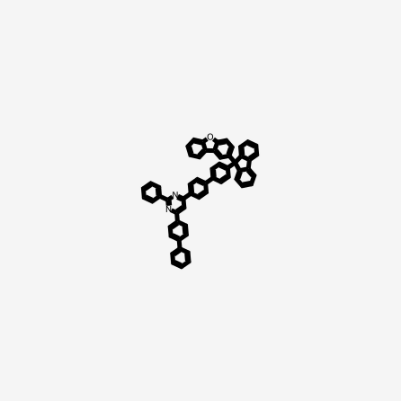 c1ccc(-c2ccc(-c3cc(-c4ccc(-c5ccc(C6(c7ccc8oc9ccccc9c8c7)c7ccccc7-c7ccccc76)cc5)cc4)nc(-c4ccccc4)n3)cc2)cc1